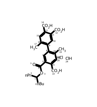 CCCCC(CCC)OC(=O)c1cc(-c2cc(C(=O)O)c(C(=O)O)cc2C)c(C)cc1C(=O)O.Cl.Cl